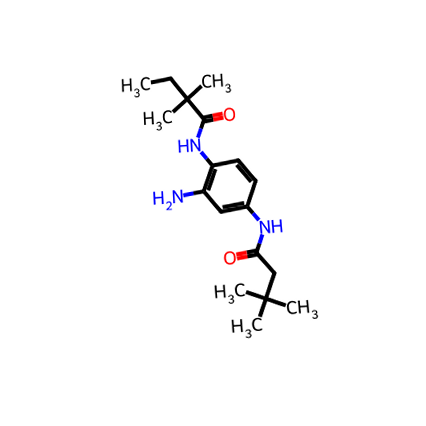 CCC(C)(C)C(=O)Nc1ccc(NC(=O)CC(C)(C)C)cc1N